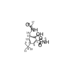 CNS(=O)(=O)c1cc(C(C)(C)C)cc(CNC(C)=O)c1O